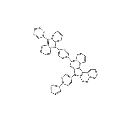 c1ccc(-c2ccc(-n3c4ccc5ccccc5c4c4c5ccccc5c(-c5ccc(-c6c7ccccc7c(-c7ccccc7)c7ccccc67)cc5)cc43)cc2)cc1